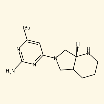 CC(C)(C)c1cc(N2CC3CCCN[C@H]3C2)nc(N)n1